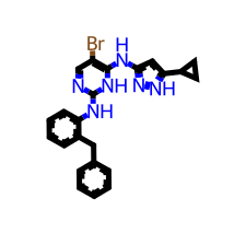 BrC1=C(Nc2cc(C3CC3)[nH]n2)NC(Nc2ccccc2Cc2ccccc2)N=C1